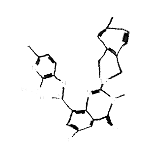 C[C@@H](Nc1ccc(Cl)nc1C(=O)O)c1cc(F)cc2c(=O)n(C)c(N3Cc4ccc(F)cc4C3)nc12